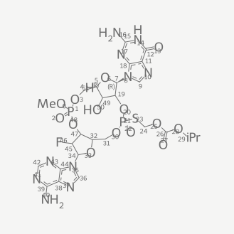 COP1(=O)OC[C@H]2O[C@@H](n3cnc4c(=O)[nH]c(N)nc43)C(OP(=O)(SCOC(=O)OC(C)C)OCC3OC(n4cnc5c(N)ncnc54)C(F)C3O1)C2O